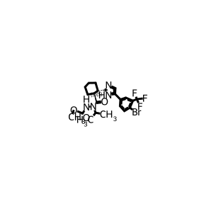 COC(=O)NN(C(=O)[C@H]1CCCC[C@@H]1c1ncc(-c2ccc(Br)c(C(F)(F)F)c2)[nH]1)C(C)C